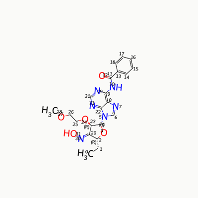 CC[C@H]1O[C@@H](n2cnc3c(NC(=O)c4ccccc4)ncnc32)[C@H](OCCOC)C1=NO